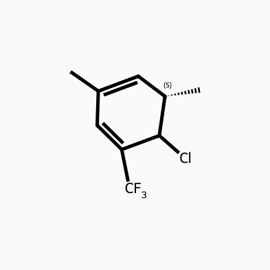 CC1=C[C@H](C)C(Cl)C(C(F)(F)F)=C1